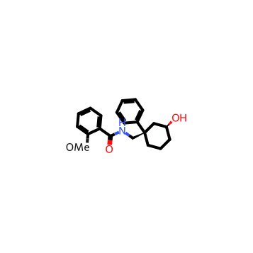 COc1ccccc1C(=O)NC[C@]1(c2ccccc2)CCC[C@H](O)C1